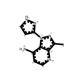 Cc1nn(-c2cc[nH]n2)c2c(N)ccnc12